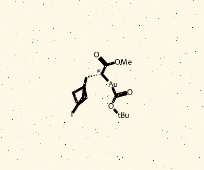 COC(=O)[C@@H](CC12CC(I)(C1)C2)[Au][C](=O)OC(C)(C)C